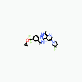 Cc1nnc(N[C@H](C)c2cccc(C(F)(F)OC3CC3)c2)c2cc(N3CC[C@@H](F)C3)cnc12